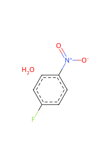 O.O=[N+]([O-])c1ccc(F)cc1